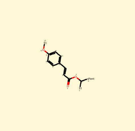 CCCCCC(CC)OC(=O)C=Cc1ccc(OCC)cc1